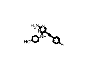 CCc1ccc(C#Cc2cnc(N)nc2N[C@H]2CC[C@H](O)CC2)cc1